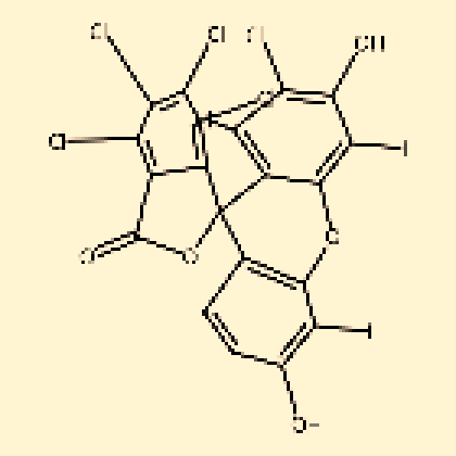 O=C1OC2(c3ccc(O)c(I)c3Oc3c(I)c(O)c(Cl)c(Cl)c32)c2c(Cl)c(Cl)c(Cl)c(Cl)c21